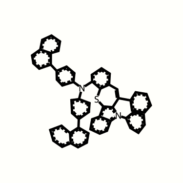 C1=C(c2ccccc2)c2c(c3ccccc3n2-c2ccccc2)Sc2c1cccc2N(c1ccc(-c2cccc3ccccc23)cc1)c1ccc(-c2cccc3ccccc23)cc1